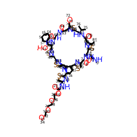 CNC(=O)C[C@@H]1NC(=O)c2csc(n2)-c2ccc(-c3nc(NC(=O)OCCOCCOCCOC)cs3)nc2-c2csc(n2)-c2csc(n2)[C@H]([C@@H](O)c2ccccc2)NC(=O)CNC(=O)c2nc(sc2COC)[C@@H](C(C)C)NC(=O)c2nc1sc2C